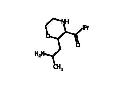 CC(N)CC1OCCNC1C(=O)C(C)C